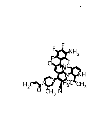 C=CC(=O)N1CCN(c2c(C#N)c(=O)n(C3=C(C)C=CNC3C(C)C)c3nc(-c4c(F)c(N)c(F)c(F)c4F)c(Cl)cc23)C[C@H]1C